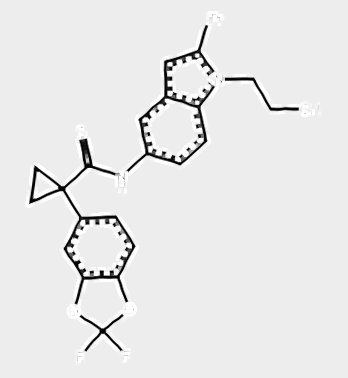 CC(C)c1cc2cc(NC(=O)C3(c4ccc5c(c4)OC(F)(F)O5)CC3)ccc2n1CCO